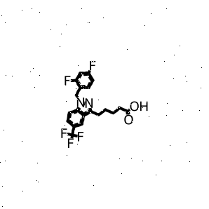 O=C(O)CCCCc1nn(Cc2ccc(F)cc2F)c2ccc(C(F)(F)F)cc12